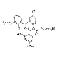 CCOC(=O)/C=C/C(=O)N(Cc1ccc(OC)cc1OC)c1ccc(Cl)cc1C(O)c1cccc(OC(F)(F)F)c1Cl